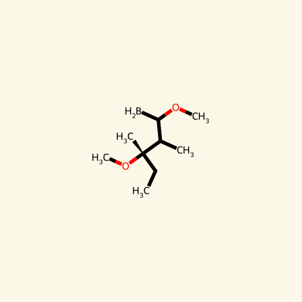 BC(OC)C(C)[C@](C)(CC)OC